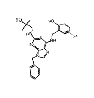 CC(C)(O)CNc1nc(NCc2cc(S)ccc2O)c2ncn(Cc3ccccc3)c2n1